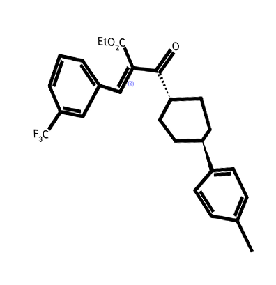 CCOC(=O)/C(=C\c1cccc(C(F)(F)F)c1)C(=O)[C@H]1CC[C@H](c2ccc(C)cc2)CC1